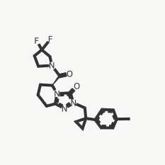 Cc1ccc(C2(Cn3nc4n(c3=O)[C@H](C(=O)N3CCC(F)(F)C3)CCC4)CC2)cc1